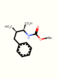 CC(C)(C)OC(=O)N[C@H](C(=O)O)[C@@H](Cc1ccccc1)C(=O)O